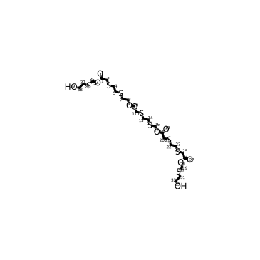 O=C(CSCCSCCOOCSCCSCOC(=O)CSCCSCC(=O)OCSCCO)OCSCCO